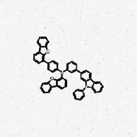 c1ccc(-n2c3ccccc3c3ccc(-c4cccc(N(c5ccc(-c6cccc7c6oc6ccccc67)cc5)c5cccc6c5oc5ccccc56)c4)cc32)cc1